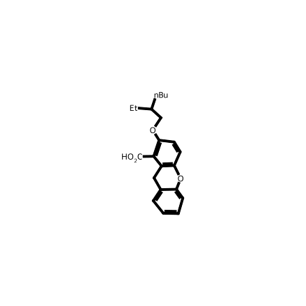 CCCCC(CC)COc1ccc2c(c1C(=O)O)Cc1ccccc1O2